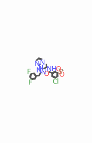 CC(NC(=O)c1cc(Cl)cc(S(C)(=O)=O)c1)c1nc(Cc2cc(F)cc(F)c2)nn1-c1ncccn1